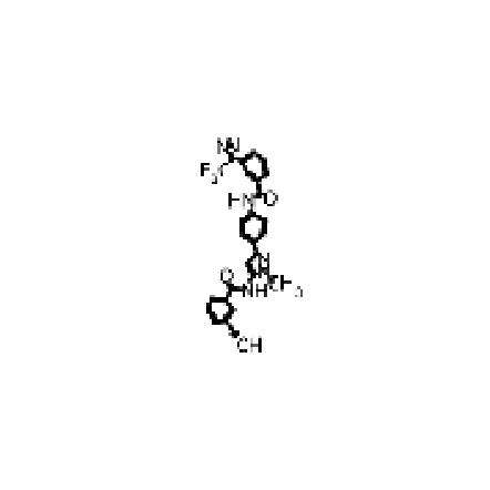 C#Cc1cccc(C(=O)Nc2cc(-c3ccc(NC(=O)c4cccc(C5(C(F)(F)F)N=N5)c4)cc3)nn2C)c1